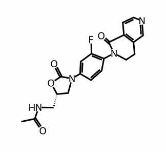 CC(=O)NC[C@H]1CN(c2ccc(N3CCc4cnccc4C3=O)c(F)c2)C(=O)O1